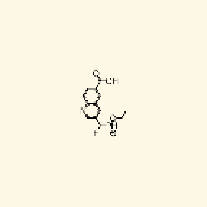 CCO[PH](=O)C(F)c1cnc2ccc(C(=O)O)cc2c1